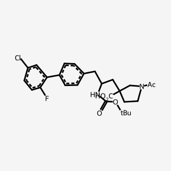 CC(=O)N1CCC(CC(Cc2ccc(-c3cc(Cl)ccc3F)cc2)NC(=O)OC(C)(C)C)(C(=O)O)C1